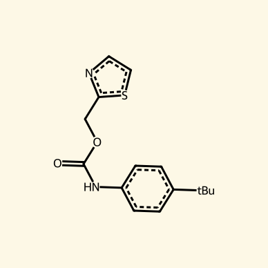 CC(C)(C)c1ccc(NC(=O)OCc2nccs2)cc1